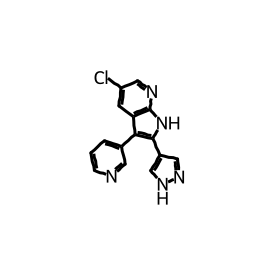 Clc1cnc2[nH]c(-c3cn[nH]c3)c(-c3cccnc3)c2c1